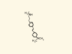 CNCCC[n+]1ccc(/C=C/c2ccc(N(C)C)cc2)cc1